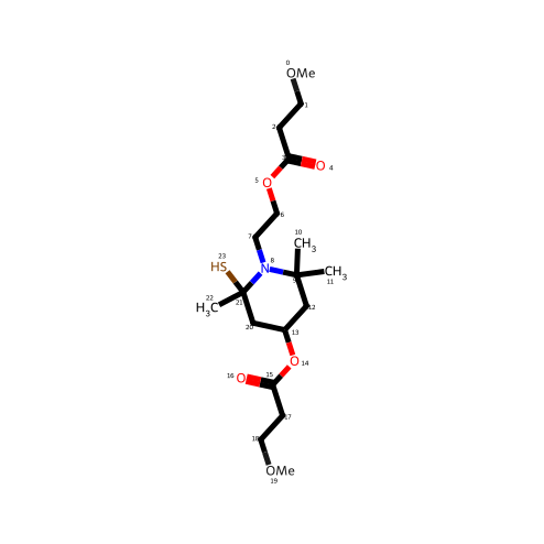 COCCC(=O)OCCN1C(C)(C)CC(OC(=O)CCOC)CC1(C)S